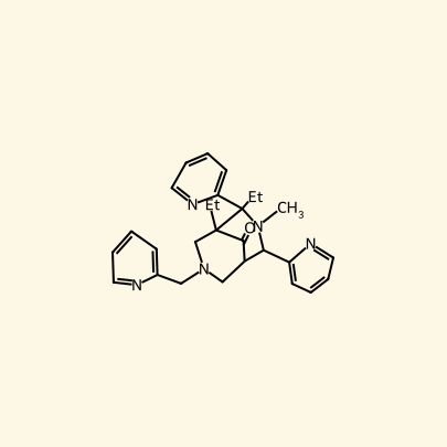 CCC12CN(Cc3ccccn3)CC(C1=O)C(c1ccccn1)N(C)C2(CC)c1ccccn1